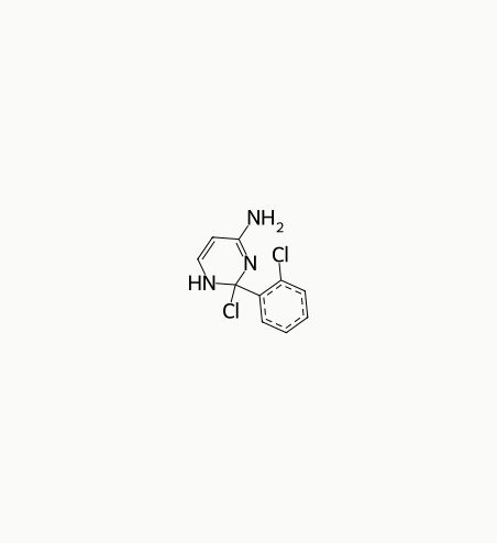 NC1=NC(Cl)(c2ccccc2Cl)NC=C1